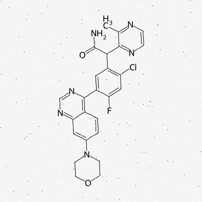 Cc1nccnc1C(C(N)=O)c1cc(-c2ncnc3cc(N4CCOCC4)ccc23)c(F)cc1Cl